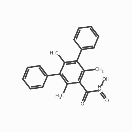 Cc1c(C(=O)[PH](=O)O)c(C)c(-c2ccccc2)c(C)c1-c1ccccc1